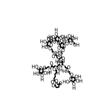 O=C(CC[C@H](NC(=O)CCCCC(=O)ON1C(=O)CCC1=O)C(=O)N[C@@H](CCC(=O)NCCO[C@H]1O[C@H](CO)[C@@H](O)[C@H](O)[C@@H]1O)C(=O)N[C@@H](CCC(=O)NCCO[C@H]1O[C@H](CO)[C@@H](O)[C@H](O)[C@@H]1O)C(=O)NCCO[C@H]1O[C@H](CO[C@H]2O[C@H](CO)[C@@H](O)[C@H](O)[C@@H]2O)[C@@H](O)[C@H](O[C@H]2O[C@H](CO)[C@@H](O)[C@H](O)[C@@H]2O)[C@@H]1O)NCCO[C@H]1O[C@H](CO)[C@@H](O)[C@H](O)[C@@H]1O